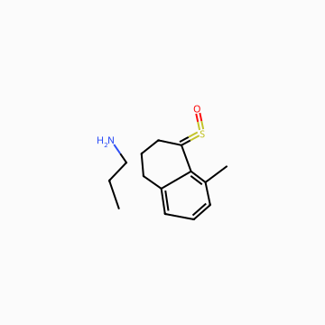 CCCN.Cc1cccc2c1C(=S=O)CCC2